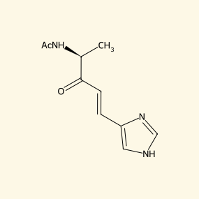 CC(=O)N[C@@H](C)C(=O)/C=C/c1c[nH]cn1